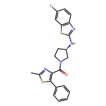 Cc1nc(C(=O)N2CC[C@@H](Nc3nc4ccc(F)cc4s3)C2)c(-c2ccccc2)s1